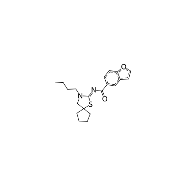 CCCCN1CC2(CCCC2)SC1=NC(=O)c1ccc2occc2c1